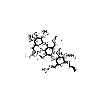 C=CCOC1OC(COP)[C@@H](O[C@@H]2OC(COP)[C@H](O[C@H]3OC(COP)[C@H](OP)[C@H](O)C3OP)[C@H](OP)C2OP)[C@H](OP)[C@@H]1OP